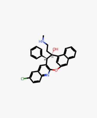 CNCC[C@@]1(O)c2cc(cc3ccccc23)Oc2nc3ccc(Cl)cc3cc2[C@H]1c1ccccc1